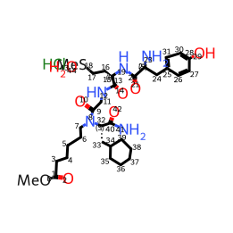 COC(=O)CCCCCN(C(=O)CNC(=O)[C@@H](CCSC)NC(=O)[C@@H](N)Cc1ccc(O)cc1)[C@@H](CC1CCCCC1)C(N)=O.Cl.O